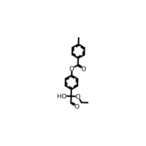 CCOC(O)(C=O)c1ccc(OC(=O)c2ccc(C)cc2)cc1